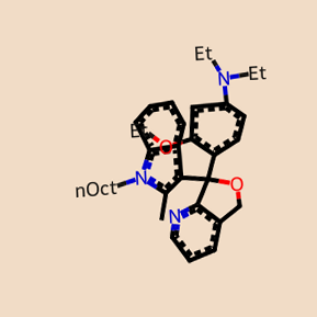 CCCCCCCCn1c(C)c(C2(c3ccc(N(CC)CC)cc3OCC)OCc3cccnc32)c2ccccc21